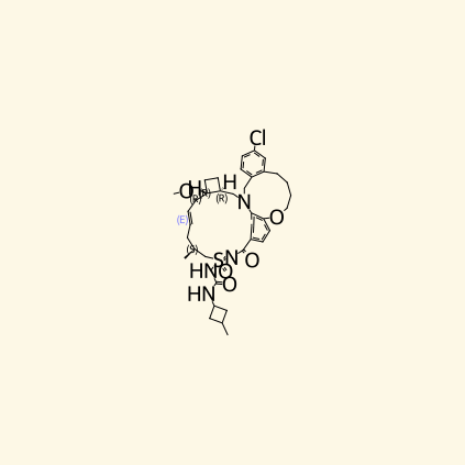 CO[C@H]1/C=C/C[C@H](C)CS(=O)(NC(=O)NC2CC(C)C2)=NC(=O)c2ccc3c(c2)N(Cc2ccc(Cl)cc2CCCCO3)C[C@@H]2CC[C@H]21